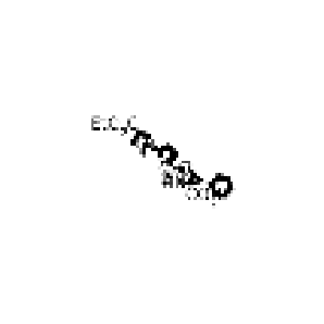 CCOC(=O)c1cnn(-c2ccc(S(=O)(=O)N[C@@]3(C(=O)O)[C@H](C)[C@@H]3c3ccccc3)s2)c1